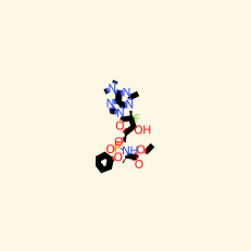 CCOC(=O)[C@H](C)N[P@](=O)(OC[C@H]1O[C@@H](n2cnc3c(N(C)C)nc(C)nc32)[C@](C)(F)[C@@H]1O)Oc1ccccc1